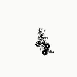 C=CCNC(=O)C(=O)C(CCC)NC(=O)[C@@H]1CC2(CN1C(=O)[C@@H](NC(=O)NC1(CS(=O)(=O)C(C)(C)C)CCCCC1)C1(C)CCCCC1)SCCS2